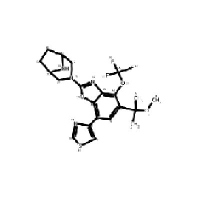 COC(C)(C)c1cc(-c2cscn2)c2oc(N3CC4CCC(C3)N4)nc2c1OC(F)(F)F